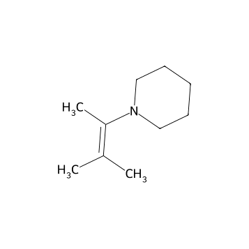 CC(C)=C(C)N1CCCCC1